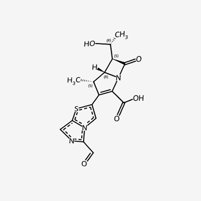 C[C@@H](O)[C@H]1C(=O)N2C(C(=O)O)=C(c3cn4c(C=O)ncc4s3)[C@H](C)[C@H]12